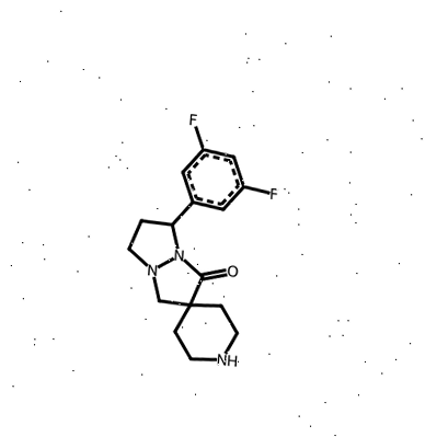 O=C1N2C(c3cc(F)cc(F)c3)CCN2CC12CCNCC2